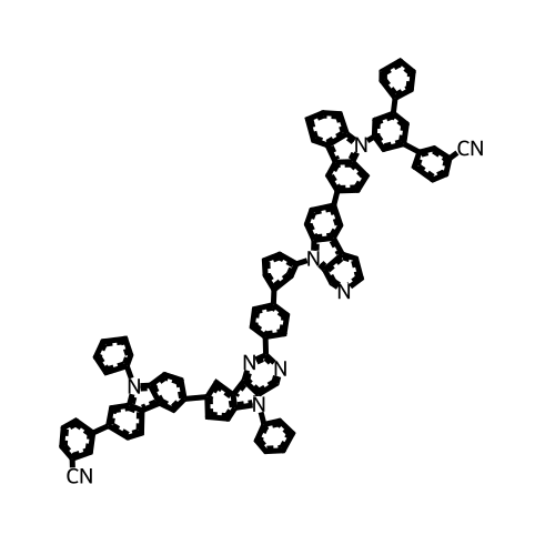 N#Cc1cccc(-c2cc(-c3ccccc3)cc(-n3c4ccccc4c4cc(-c5ccc6c(c5)c5ccncc5n6-c5cccc(-c6ccc(-c7ncc8c(n7)c7cc(-c9ccc%10c(c9)c9ccc(-c%11cccc(C#N)c%11)cc9n%10-c9ccccc9)ccc7n8-c7ccccc7)cc6)c5)ccc43)c2)c1